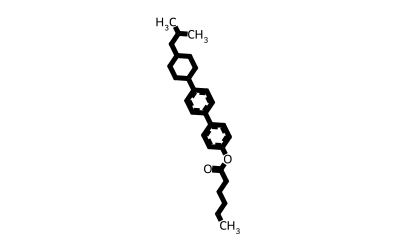 CCCCCC(=O)Oc1ccc(-c2ccc(C3CCC(CC(C)C)CC3)cc2)cc1